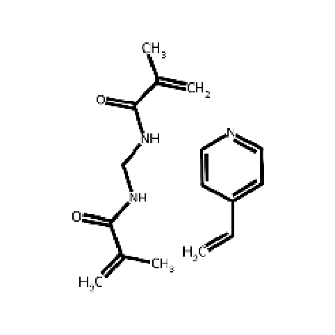 C=C(C)C(=O)NCNC(=O)C(=C)C.C=Cc1ccncc1